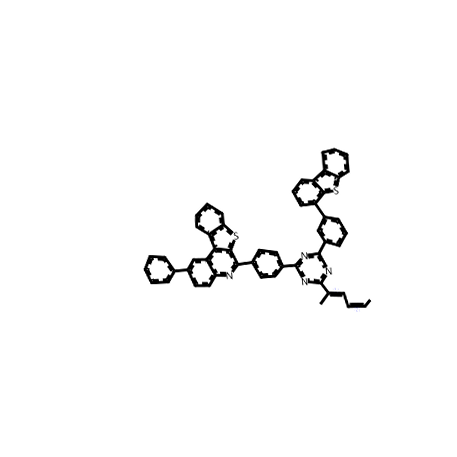 C/C=C\C=C(/C)c1nc(-c2ccc(-c3nc4ccc(-c5ccccc5)cc4c4c3sc3ccccc34)cc2)nc(-c2cccc(-c3cccc4c3sc3ccccc34)c2)n1